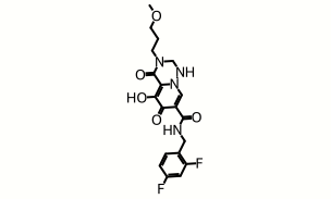 COCCCN1CNn2cc(C(=O)NCc3ccc(F)cc3F)c(=O)c(O)c2C1=O